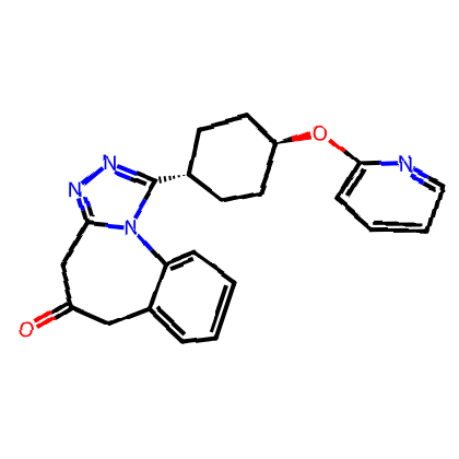 O=C1Cc2ccccc2-n2c(nnc2[C@H]2CC[C@H](Oc3ccccn3)CC2)C1